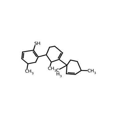 CC1C=CC(C)(C2=CCCC(C3=C(S)C=CC(C)C3)C2C)CC1